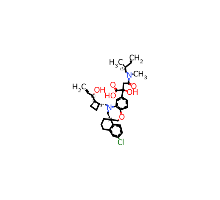 C=C[C@H](C)CN(C)C(=O)CC(O)(C(=O)O)c1ccc2c(c1)N(C[C@@H]1CC[C@H]1[C@@H](O)C=C)C[C@@]1(CCCc3cc(Cl)ccc31)CO2